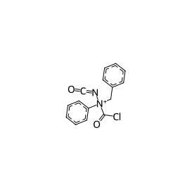 O=C=N[N+](Cc1ccccc1)(C(=O)Cl)c1ccccc1